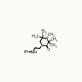 CC(C)NCCN1CC(C)(C)N(C)C(C)(C)C1=O